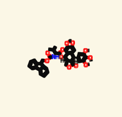 COc1cc([C@@H]2c3cc4c(cc3[C@H](OC(=O)[C@H](NC(=O)OCC3c5ccccc5-c5ccccc53)C(C)C)[C@H]3COC(=O)[C@@H]23)OCO4)cc(OC)c1OC